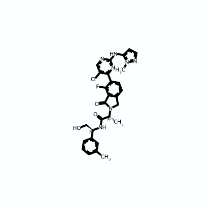 Cc1cccc([C@@H](CO)NC(=O)[C@@H](C)N2Cc3ccc(-c4nc(Nc5ccnn5C)ncc4Cl)c(F)c3C2=O)c1